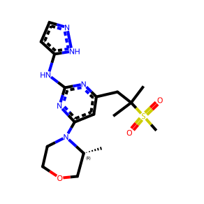 C[C@@H]1COCCN1c1cc(CC(C)(C)S(C)(=O)=O)nc(Nc2ccn[nH]2)n1